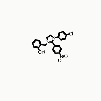 O=[N+]([O-])c1ccc(C2N(Cc3ccccc3O)CCN2c2ccc(Cl)cc2)cc1